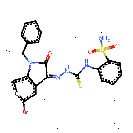 NS(=O)(=O)c1ccccc1NC(=S)NN=C1C(=O)N(Cc2ccccc2)c2ccc(Br)cc21